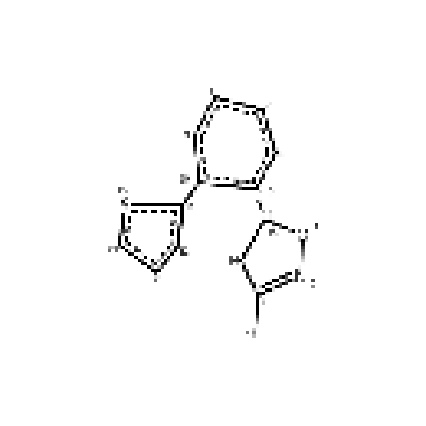 CC1=NO[C@@H](c2ccccc2-c2cccs2)C1